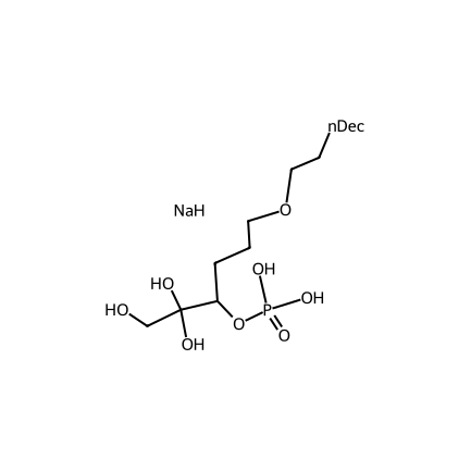 CCCCCCCCCCCCOCCCC(OP(=O)(O)O)C(O)(O)CO.[NaH]